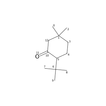 CC1(C)CCC(C(C)(C)C)C(=O)C1